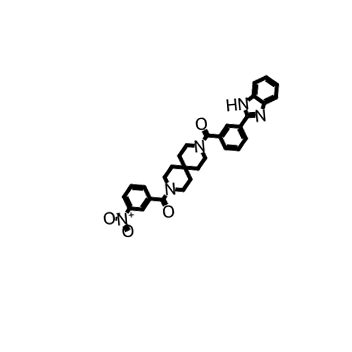 O=C(c1cccc(-c2nc3ccccc3[nH]2)c1)N1CCC2(CC1)CCN(C(=O)c1cccc([N+](=O)[O-])c1)CC2